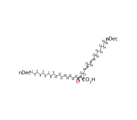 CCCCCCCCCCCCCCCCCCCCCCCCCCCC(=O)C(CCCCCCCCCCCCCCCCCCCCCCCCCC)C(=O)O